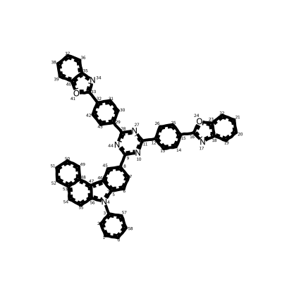 c1ccc(-n2c3ccc(-c4nc(-c5ccc(-c6nc7ccccc7o6)cc5)nc(-c5ccc(-c6nc7ccccc7o6)cc5)n4)cc3c3c4ccccc4ccc32)cc1